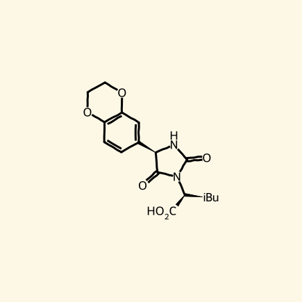 CC[C@H](C)[C@@H](C(=O)O)N1C(=O)N[C@H](c2ccc3c(c2)OCCO3)C1=O